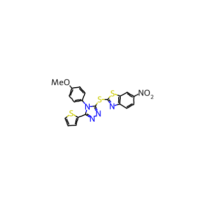 COc1ccc(-n2c(Sc3nc4ccc([N+](=O)[O-])cc4s3)nnc2-c2cccs2)cc1